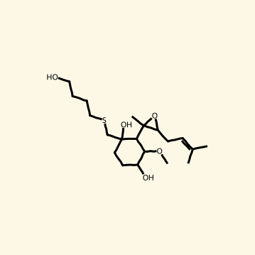 COC1C(O)CCC(O)(CSCCCCO)C1C1(C)OC1CC=C(C)C